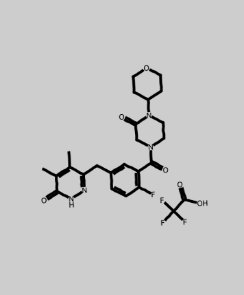 Cc1c(Cc2ccc(F)c(C(=O)N3CCN(C4CCOCC4)C(=O)C3)c2)n[nH]c(=O)c1C.O=C(O)C(F)(F)F